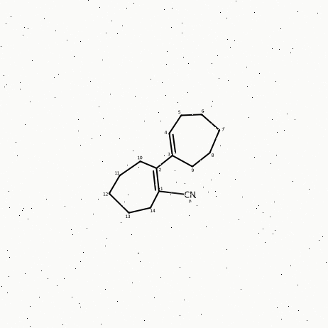 N#CC1=C(C2=CCCCCC2)CCCCC1